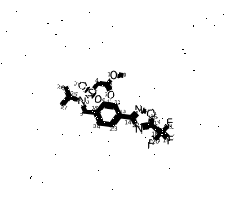 COC(=O)CS(=O)(=O)N(Cc1ccc(-c2noc(C(F)(F)F)n2)cc1)C(C)C